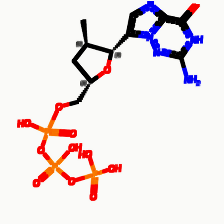 C[C@@H]1C[C@@H](COP(=O)(O)OP(=O)(O)OP(=O)(O)O)O[C@H]1c1cnc2c(=O)[nH]c(N)nn12